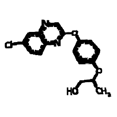 CC(CO)Oc1ccc(Oc2cnc3cc(Cl)ccc3n2)cc1